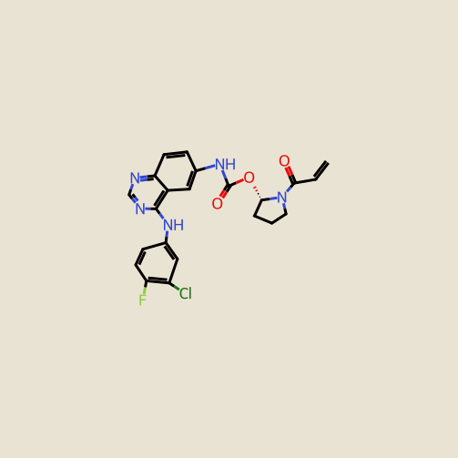 C=CC(=O)N1CCC[C@@H]1OC(=O)Nc1ccc2ncnc(Nc3ccc(F)c(Cl)c3)c2c1